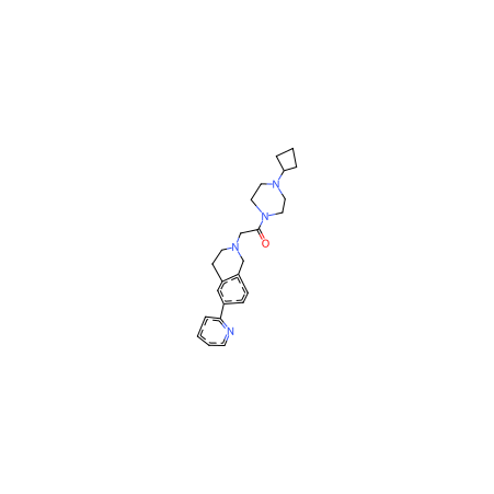 O=C(CN1CCc2cc(-c3ccccn3)ccc2C1)N1CCN(C2CCC2)CC1